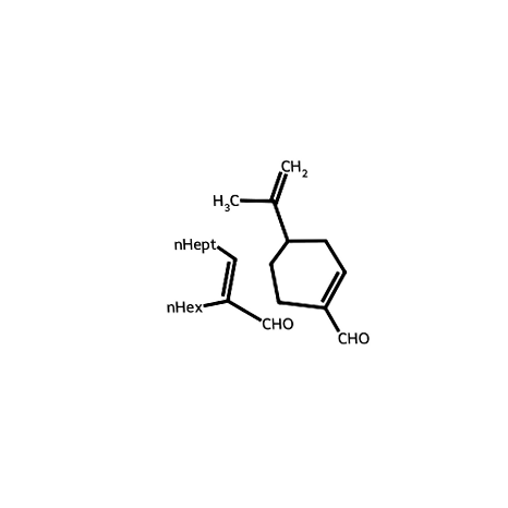 C=C(C)C1CC=C(C=O)CC1.CCCCCCCC=C(C=O)CCCCCC